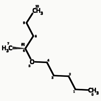 CCCCCO[C@H](C)CCC